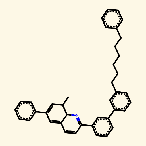 CC1C=C(c2ccccc2)C=C2C=CC(c3cccc(-c4cccc(CCCCCCc5ccccc5)c4)c3)=NC21